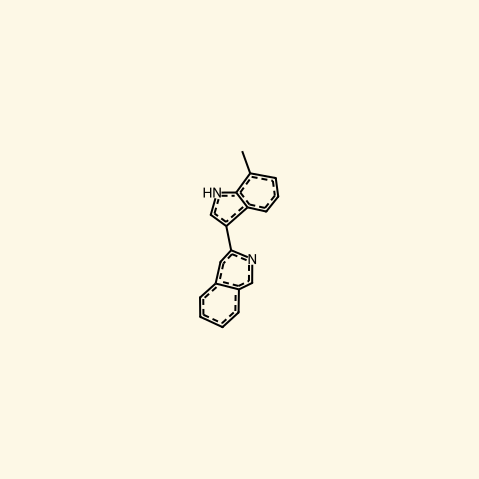 Cc1cccc2c(-c3cc4ccccc4cn3)c[nH]c12